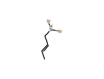 CC=CC[SiH](Br)Br